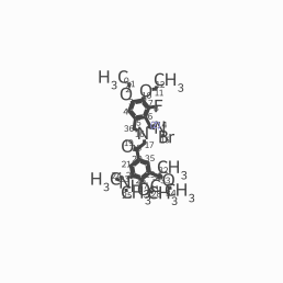 CCOc1cc2c(c(F)c1OCC)/C(=N/Br)N(CC(=O)c1cc(N(C)C)c(OC)c(C(C)(C)OC)c1)C2